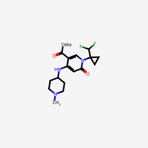 COC(=O)c1cn(C2(C(F)F)CC2)c(=O)cc1NC1CCN(C)CC1